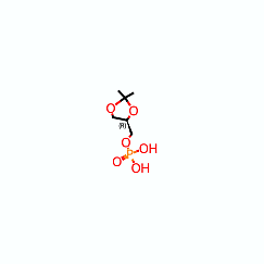 CC1(C)OC[C@H](COP(=O)(O)O)O1